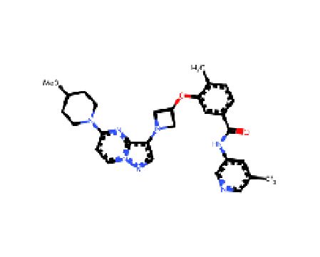 COC1CCN(c2ccn3ncc(N4CC(Oc5cc(C(=O)Nc6cncc(C(F)(F)F)c6)ccc5C)C4)c3n2)CC1